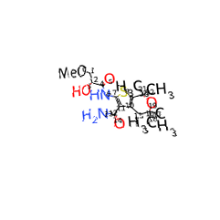 COCC(O)C(=O)Nc1sc2c(c1C(N)=O)CC(C)(C)OC2(C)C